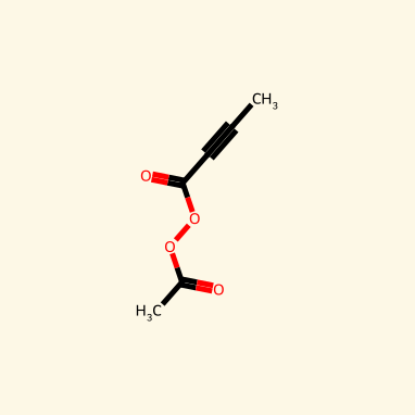 CC#CC(=O)OOC(C)=O